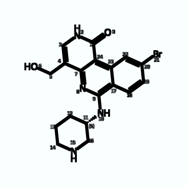 O=c1[nH]cc(CO)c2nc(N[C@H]3CCCNC3)c3ccc(Br)cc3c12